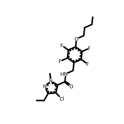 CCCCOc1c(F)c(F)c(CNC(=O)c2c(Cl)c(CC)nn2C)c(F)c1F